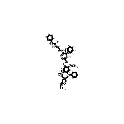 CCCCC1(CC)CN(c2ccccc2)c2cc(SC)c(OCC(=O)N[C@@H](C(=O)NCCNC(=O)Nc3ccccn3)c3ccccc3)cc2S(=O)(=O)C1